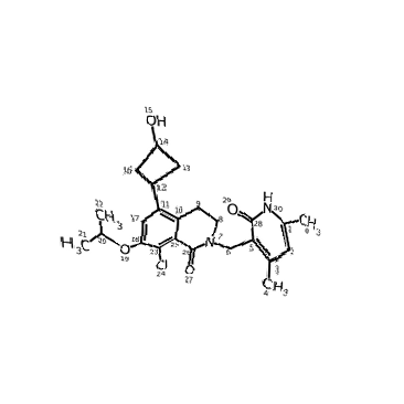 Cc1cc(C)c(CN2CCc3c(C4CC(O)C4)cc(OC(C)C)c(Cl)c3C2=O)c(=O)[nH]1